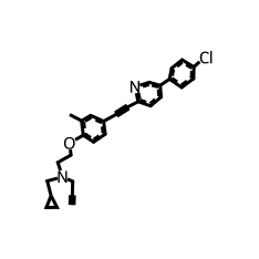 C#CCN(CCOc1ccc(C#Cc2ccc(-c3ccc(Cl)cc3)cn2)cc1C)CC1CC1